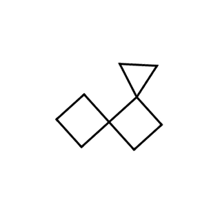 C1CC2(C1)CCC21CC1